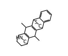 CC1C2=C(C3CCC2CN3)C(C)C2=C1C1CSC2c2ccccc21